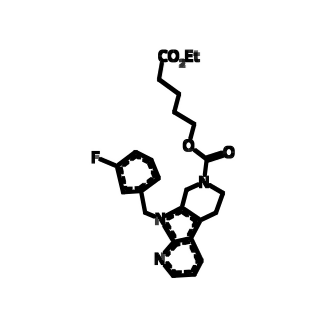 CCOC(=O)CCCCOC(=O)N1CCc2c(n(Cc3cccc(F)c3)c3ncccc23)C1